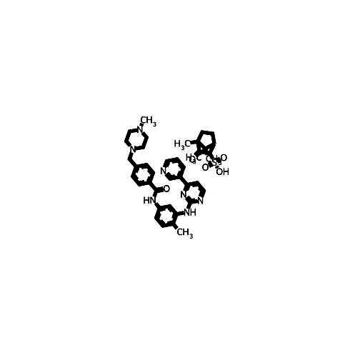 CC12CCC(C(S(=O)(=O)O)C1=O)C2(C)C.Cc1ccc(NC(=O)c2ccc(CN3CCN(C)CC3)cc2)cc1Nc1nccc(-c2cccnc2)n1